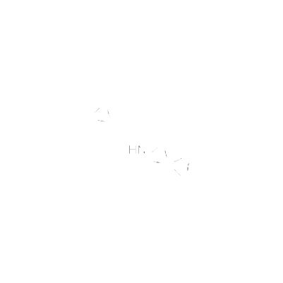 c1ccc(CCCCCNc2ccc3c(c2)Cc2ccccc2-3)cc1